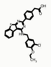 CCOc1ccc(CNc2nc(-c3ccc(CC(=O)O)cc3)nc3sc4ccccc4c23)cc1Cl